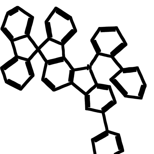 c1ccc(-c2ccc3c(c2)c2ccc4c(c2n3-c2ccccc2-c2ccccc2)-c2ccccc2C42c3ccccc3-c3ccccc32)cc1